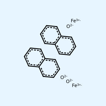 [Fe+3].[Fe+3].[O-2].[O-2].[O-2].c1ccc2ccccc2c1.c1ccc2ccccc2c1